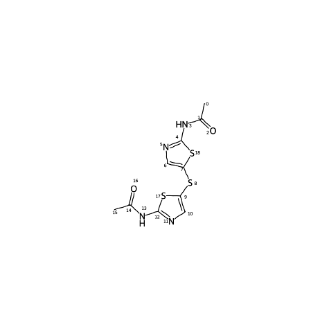 CC(=O)Nc1ncc(Sc2cnc(NC(C)=O)s2)s1